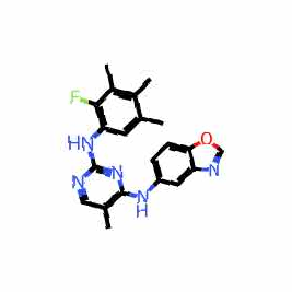 Cc1cnc(Nc2cc(C)c(C)c(C)c2F)nc1Nc1ccc2ocnc2c1